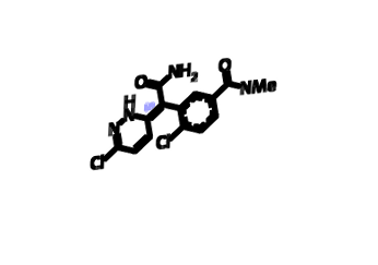 CNC(=O)c1ccc(Cl)c(/C(C(N)=O)=C2\C=CC(Cl)=NN2)c1